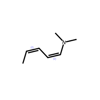 C/C=C\C=C/N(C)C